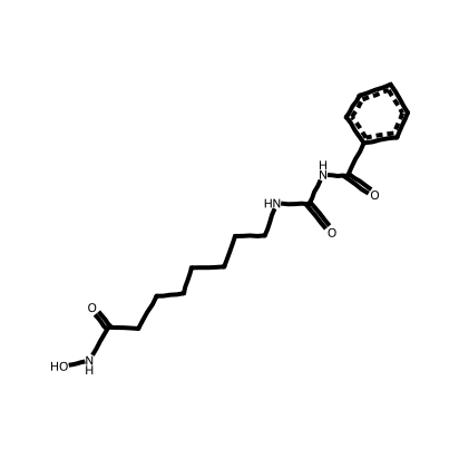 O=C(CCCCCCCNC(=O)NC(=O)c1ccccc1)NO